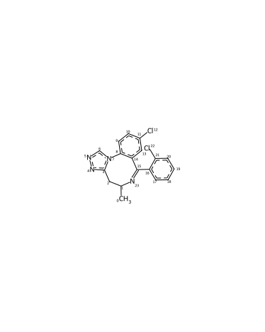 CC1Cc2nncn2-c2ccc(Cl)cc2/C(c2ccccc2Cl)=N\1